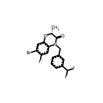 C[C@H]1Oc2cc(Br)c(F)cc2N(Cc2cccc(C(F)F)c2)C1=O